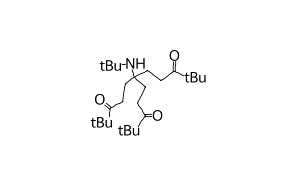 CC(C)(C)NC(CCC(=O)C(C)(C)C)(CCC(=O)C(C)(C)C)CCC(=O)C(C)(C)C